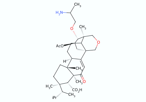 CC(=O)O[C@@H]1C[C@@]23COC[C@@](C)(C2CC[C@H]2C3=CC(=O)[C@@]3(C)[C@H](C(=O)O)[C@@](C)([C@H](C)C(C)C)CC[C@]23C)[C@H]1OCC(C)N